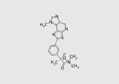 CN(C)C(=O)C(C)(C)c1cccc(-c2nc3c(ncc4ncn(C)c43)s2)c1